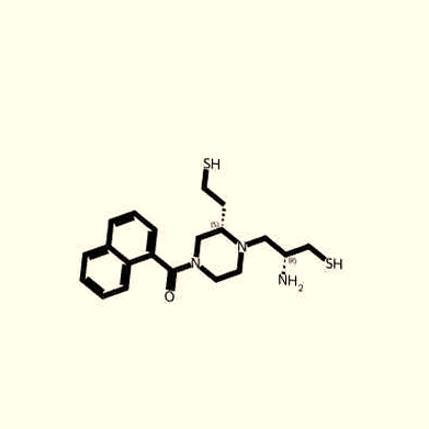 N[C@@H](CS)CN1CCN(C(=O)c2cccc3ccccc23)C[C@@H]1CCS